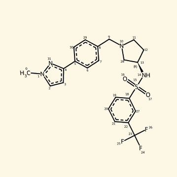 Cn1ccc(-c2ccc(CN3CC[C@@H](NS(=O)(=O)c4cccc(C(F)(F)F)c4)C3)cc2)n1